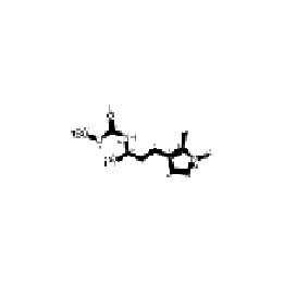 Cc1c(CCC(NC(=O)OC(C)(C)C)C(C)C)ccn1C